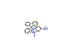 N#Cc1cc(F)c2c(c1)c(I)nn2C(c1ccccc1)(c1ccccc1)c1ccccc1